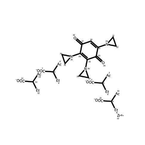 CCC(C(C)=O)C(=O)[O-].CCC(C(C)=O)C(=O)[O-].CCC(C(C)=O)C(=O)[O-].CCC(C(C)=O)C(=O)[O-].O=C1C=C(N2CC2)C(=O)C(N2CC2)=C1N1CC1.[Zr+4]